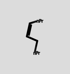 [CH2]CCC/C=C\CCC